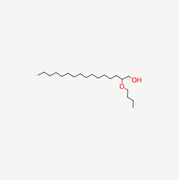 CCCCCCCCCCCCCCC(CO)OCCCC